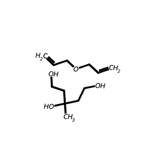 C=CCOCC=C.CC(O)(CCO)CCO